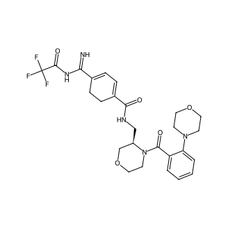 N=C(NC(=O)C(F)(F)F)C1=CC=C(C(=O)NC[C@@H]2COCCN2C(=O)c2ccccc2N2CCOCC2)CC1